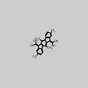 [C-]#[N+]/C(C#N)=C1/c2cc(C(F)(F)F)ccc2-c2c(C)c3c(c(C)c21)-c1ccc(C(F)(F)F)cc1/C3=C(/C#N)[N+]#[C-]